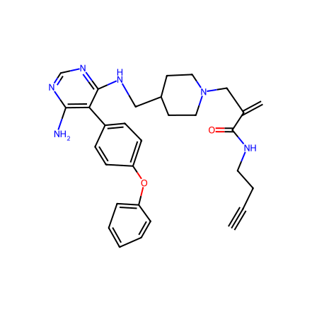 C#CCCNC(=O)C(=C)CN1CCC(CNc2ncnc(N)c2-c2ccc(Oc3ccccc3)cc2)CC1